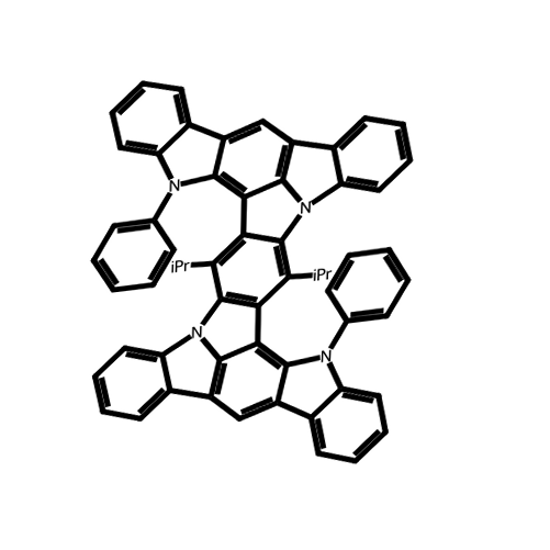 CC(C)c1c2c3c4c(cc5c6ccccc6n(c2c(C(C)C)c2c6c7c(cc8c9ccccc9n(c12)c86)c1ccccc1n7-c1ccccc1)c53)c1ccccc1n4-c1ccccc1